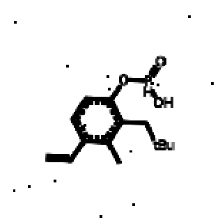 C=Cc1ccc(O[PH](=O)O)c(CC(C)(C)C)c1C